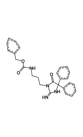 N=C1NC(c2ccccc2)(c2ccccc2)C(=O)N1CCCNC(=O)OCc1ccccc1